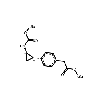 CC(C)(C)OC(=O)Cc1ccc([C@@H]2C[C@H]2NC(=O)OC(C)(C)C)cc1